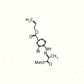 C=CCOC(=O)c1ccc(N/N=C(\C)C(=O)OC)c(Br)c1